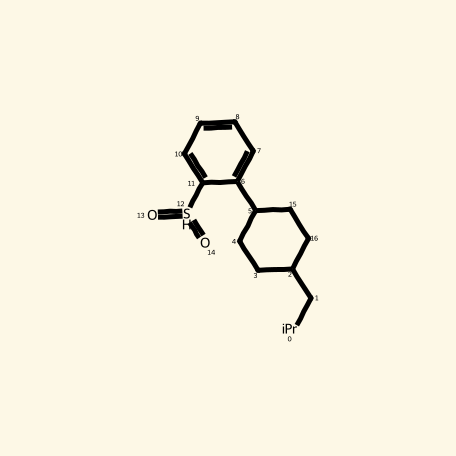 CC(C)CC1CCC(c2ccccc2[SH](=O)=O)CC1